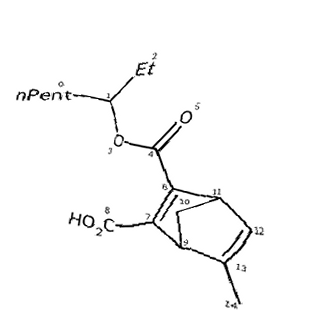 CCCCCC(CC)OC(=O)C1=C(C(=O)O)C2CC1C=C2C